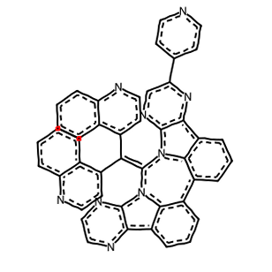 c1ccc2c(C(c3ccnc4ccccc34)=c3n4c5nccnc5c5cccc(c6cccc7c8nc(-c9ccncc9)cnc8n3c67)c54)ccnc2c1